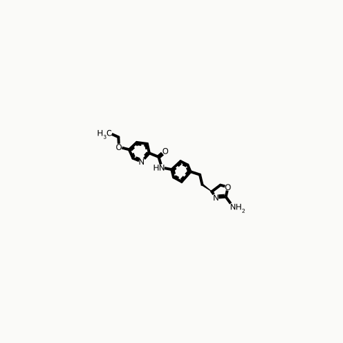 CCOc1ccc(C(=O)Nc2ccc(CC[C@H]3COC(N)=N3)cc2)nc1